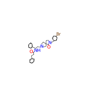 O=C(CCc1ccccc1)NC(CCN1CCC2(CC1)CCN(Cc1ccc(Br)cc1)C2=O)c1ccccc1